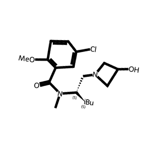 CC[C@H](C)[C@@H](CN1CC(O)C1)N(C)C(=O)c1cc(Cl)ccc1OC